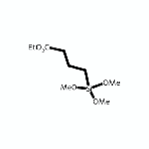 CCOC(=O)CCC[Si](OC)(OC)OC